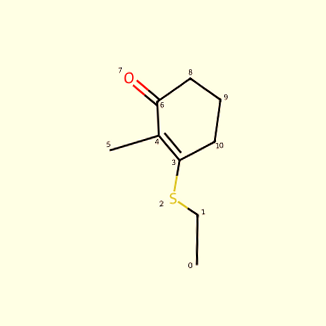 CCSC1=C(C)C(=O)CCC1